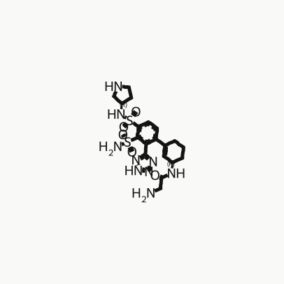 NCC(=O)N[C@H]1C=C(c2ccc(S(=O)(=O)N[C@@H]3CCNC3)c(S(N)(=O)=O)c2-c2nn[nH]n2)CCC1